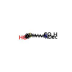 CCCCCCCCCCN(CCCCCCCCCCCSc1ccc(O)cc1)C(=O)O